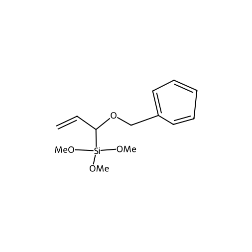 C=CC(OCc1ccccc1)[Si](OC)(OC)OC